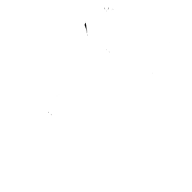 COC(=O)[C@@H]1C[C@@H](OC(=O)N2CCc3ccccc3C2)CN1C[C@@H](C)C(C)(C)C